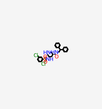 O=C(NCC(c1ccccc1)c1ccccc1)[C@@H]1CNC[C@H](NS(=O)(=O)c2cc(Cl)ccc2Cl)C1